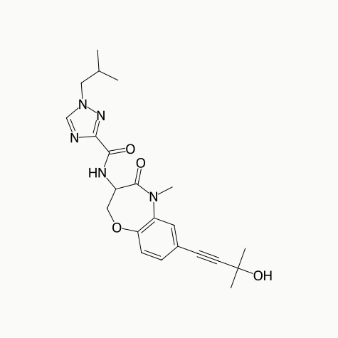 CC(C)Cn1cnc(C(=O)NC2COc3ccc(C#CC(C)(C)O)cc3N(C)C2=O)n1